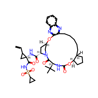 C=CC1C[C@]1(NC(=O)[C@@H]1C[C@@H]2CN1C(=O)[C@H](C(C)(C)C)NC(=O)O[C@@H]1CCC[C@H]1CCCCCc1nc3ccccc3nc1O2)C(=O)NS(=O)(=O)C1CC1